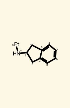 CCNC1Cc2ccccc2C1